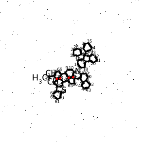 CC(C)(C)c1ccc(-c2ccc(N(c3ccc4c(c3)-c3ccccc3C4(c3ccccc3)c3ccccc3)c3ccc4ccccc4c3-c3ccc(-c4cccc5c4sc4ccccc45)cc3)cc2)cc1